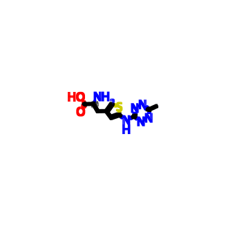 Cc1nnc(Nc2cc(C[C@H](N)C(=O)O)cs2)nn1